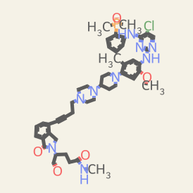 CNC(=O)CCC(C=O)N1Cc2c(C#CCCN3CCN(C4CCN(c5cc(OC)c(Nc6ncc(Cl)c(Nc7ccccc7P(C)(C)=O)n6)cc5C)CC4)CC3)cccc2C1=O